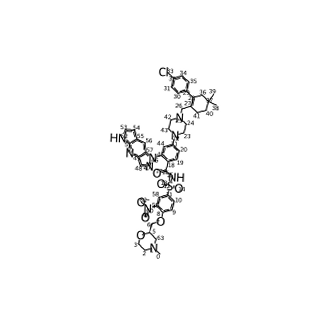 CN1CCO[C@@H](COc2ccc(S(=O)(=O)NC(=O)c3ccc(N4CCN(CC5=C(c6ccc(Cl)cc6)CC(C)(C)CC5)CC4)cc3-n3ncc4nc5[nH]ccc5cc43)cc2[N+](=O)[O-])C1